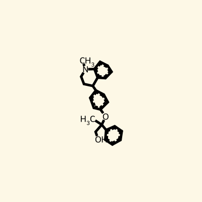 CN1CCC(c2ccc(OC(C)(CO)c3ccccc3)cc2)c2ccccc21